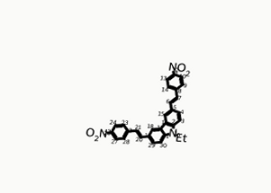 CCn1c2ccc(C=Cc3ccc([N+](=O)[O-])cc3)cc2c2cc(C=Cc3ccc([N+](=O)[O-])cc3)ccc21